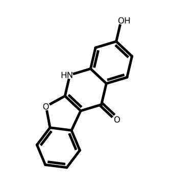 O=c1c2ccc(O)cc2[nH]c2oc3ccccc3c12